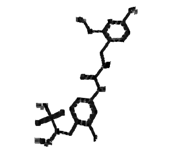 CCCCOc1nc(C(F)(F)F)ccc1CNC(=O)Nc1ccc(CN(C(=O)O)S(N)(=O)=O)c(F)c1